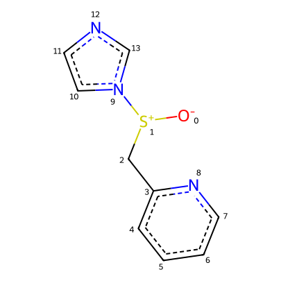 [O-][S+](Cc1ccccn1)n1ccnc1